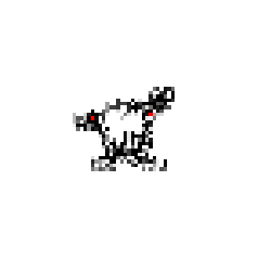 CCNS(=O)(=O)NCCOCCOCC(=O)NC(CCC(=O)NC(CCC(=O)NCCOCCOCC(=O)NC(CCCCNN)C(=O)OC1CCCCCCC1)C(=O)OC(C)(C)C)C(=O)OC(C)(C)C